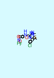 Cc1sc2c(c1C)C(c1ccc(Cl)cc1)=N[C@@H](CC(=O)Nc1ccc3c(c1)CO/C3=N/OC(F)F)c1nnc(C)n1-2